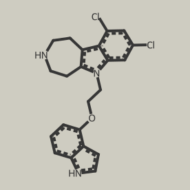 Clc1cc(Cl)c2c3c(n(CCOc4cccc5[nH]ccc45)c2c1)CCNCC3